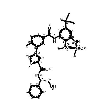 COc1c(NC(=O)c2ccc(C)c(-n3cc(C(=O)N[C@H](CO)c4ccccc4)nn3)c2)cc(C(C)(C)C)cc1NS(C)(=O)=O